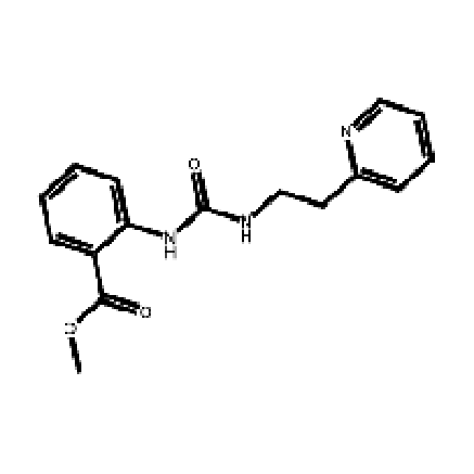 COC(=O)c1ccccc1NC(=O)NCCc1ccccn1